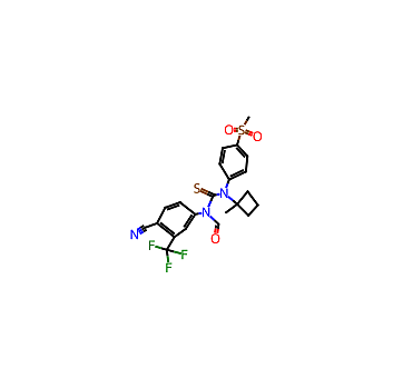 CC1(N(C(=S)N(C=O)c2ccc(C#N)c(C(F)(F)F)c2)c2ccc(S(C)(=O)=O)cc2)CCC1